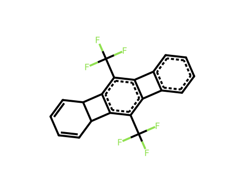 FC(F)(F)c1c2c(c(C(F)(F)F)c3c1C1C=CC=CC31)-c1ccccc1-2